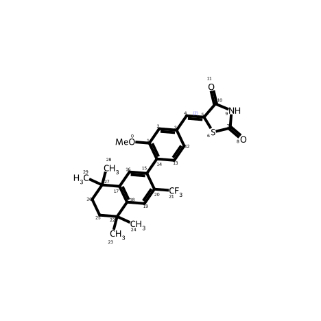 COc1cc(/C=C2\SC(=O)NC2=O)ccc1-c1cc2c(cc1C(F)(F)F)C(C)(C)CCC2(C)C